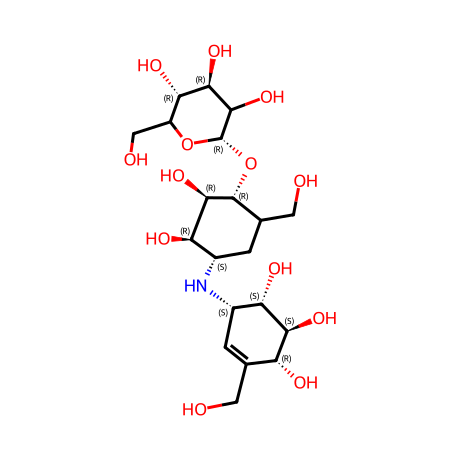 OCC1=C[C@H](N[C@H]2CC(CO)[C@@H](O[C@@H]3OC(CO)[C@H](O)[C@@H](O)C3O)[C@H](O)[C@@H]2O)[C@H](O)[C@@H](O)[C@@H]1O